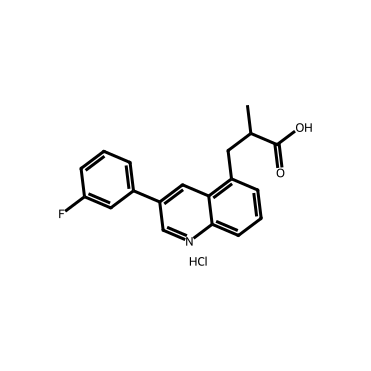 CC(Cc1cccc2ncc(-c3cccc(F)c3)cc12)C(=O)O.Cl